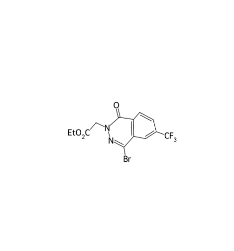 CCOC(=O)Cn1nc(Br)c2cc(C(F)(F)F)ccc2c1=O